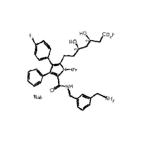 CC(C)n1c(CC[C@@H](O)C[C@@H](O)CC(=O)O)c(-c2ccc(F)cc2)c(-c2ccccc2)c1C(=O)NCc1cccc(CN)c1.[NaH]